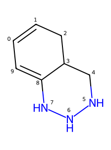 C1=CCC2CNNNC2=C1